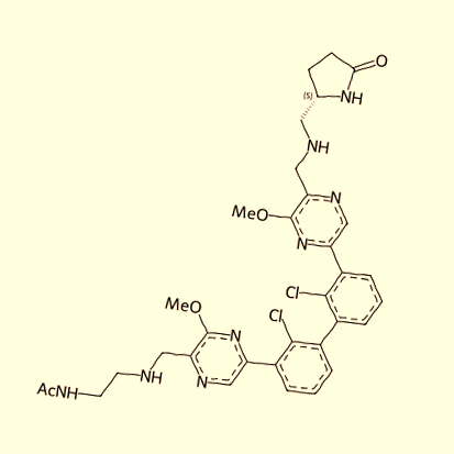 COc1nc(-c2cccc(-c3cccc(-c4cnc(CNC[C@@H]5CCC(=O)N5)c(OC)n4)c3Cl)c2Cl)cnc1CNCCNC(C)=O